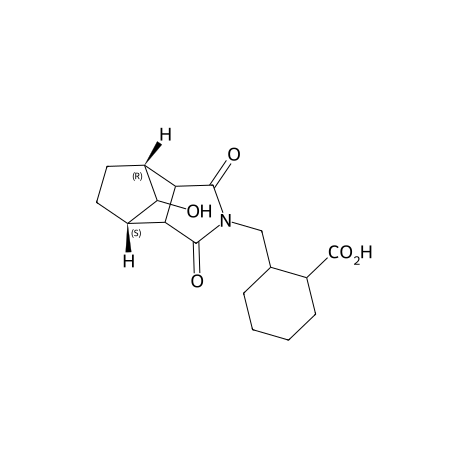 O=C(O)C1CCCCC1CN1C(=O)C2C(C1=O)[C@@H]1CC[C@H]2C1O